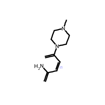 C=C(N)/C=C\C(=C)N1CCN(C)CC1